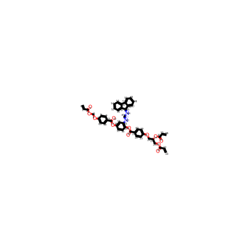 C=CC(=O)OCOc1ccc(C(=O)Oc2ccc(OC(=O)c3ccc(OCC(COC(=O)C=C)OC(=O)C=C)cc3)c(/N=C/N=C3c4ccccc4-c4ccccc43)c2)cc1